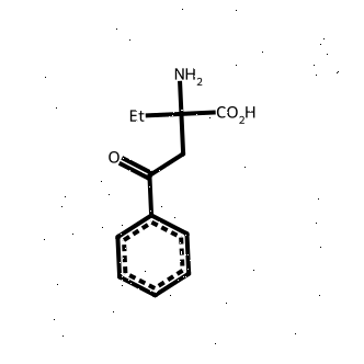 CCC(N)(CC(=O)c1ccccc1)C(=O)O